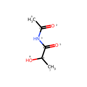 CC(=O)NC(=O)C(C)O